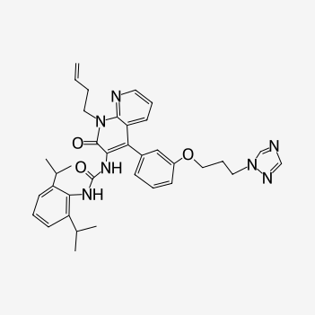 C=CCCn1c(=O)c(NC(=O)Nc2c(C(C)C)cccc2C(C)C)c(-c2cccc(OCCCn3cncn3)c2)c2cccnc21